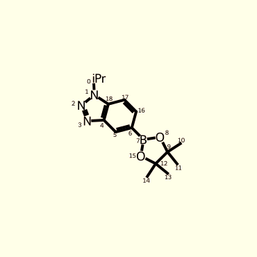 CC(C)n1nnc2cc(B3OC(C)(C)C(C)(C)O3)ccc21